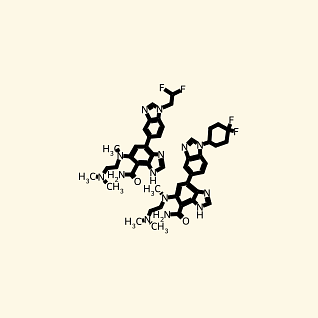 CN(C)CCN(C)c1cc(-c2ccc3c(c2)ncn3C2CCC(F)(F)CC2)c2nc[nH]c2c1C(N)=O.CN(C)CCN(C)c1cc(-c2ccc3c(c2)ncn3CC(F)F)c2nc[nH]c2c1C(N)=O